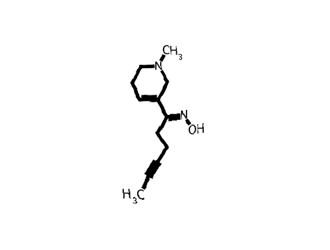 CC#CCCC(=NO)C1=CCCN(C)C1